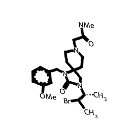 CNC(=O)CN1CCC2(CC1)CN([C@H](C)C(C)Br)C(=O)N2Cc1cccc(OC)c1